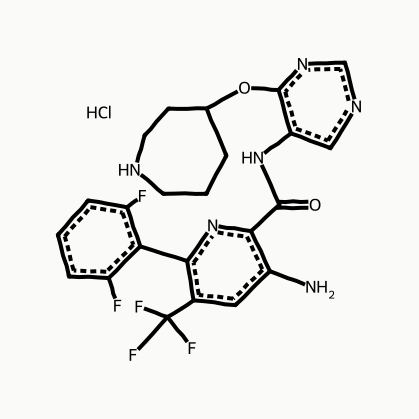 Cl.Nc1cc(C(F)(F)F)c(-c2c(F)cccc2F)nc1C(=O)Nc1cncnc1OC1CCCNCC1